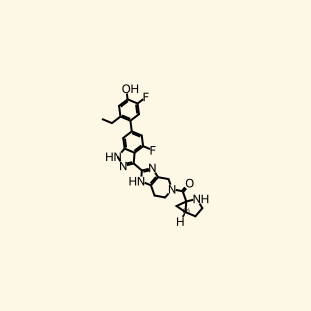 CCc1cc(O)c(F)cc1-c1cc(F)c2c(-c3nc4c([nH]3)CCN(C(=O)C35C[C@H]3CCN5)C4)n[nH]c2c1